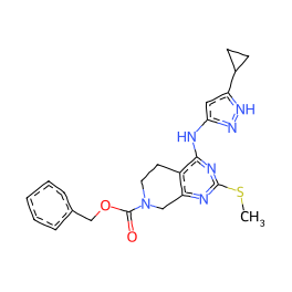 CSc1nc2c(c(Nc3cc(C4CC4)[nH]n3)n1)CCN(C(=O)OCc1ccccc1)C2